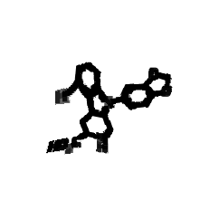 CCc1cccc2c1c1c(n2-c2ccc3c(c2)OCO3)CNC(C(=O)O)C1